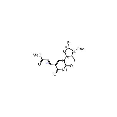 CC[C@H]1O[C@@H](n2cc(/C=C/C(=O)OC)c(=O)[nH]c2=O)C(F)[C@H]1OC(C)=O